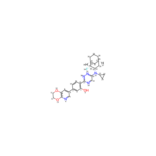 Oc1cc(-c2cnc3c(c2)OCCO3)ccc1-c1ncc(N(C2CC2)[C@H]2C[C@@H]3CCC[C@@H](C3)[C@H]2F)nn1